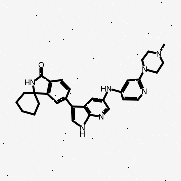 CN1CCN(c2cc(Nc3cnc4[nH]cc(-c5ccc6c(c5)C5(CCCCC5)NC6=O)c4c3)ccn2)CC1